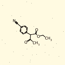 CCOC(=O)C(C(C)=O)c1ccc(C#N)cc1